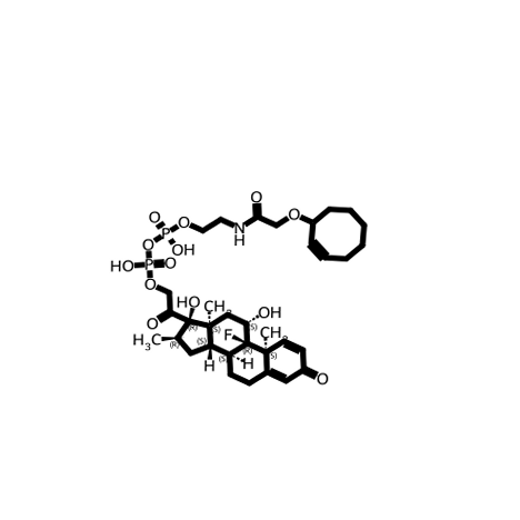 C[C@@H]1C[C@H]2[C@@H]3CCC4=CC(=O)C=C[C@]4(C)[C@@]3(F)[C@@H](O)C[C@]2(C)[C@@]1(O)C(=O)COP(=O)(O)OP(=O)(O)OCCNC(=O)COC1C#CCCCCC1